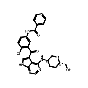 O=C(Nc1ccc(Cl)c(C(=O)c2c[nH]c3ncnc(N[C@@H]4CC[C@@H](CO)OC4)c23)c1)c1ccccc1